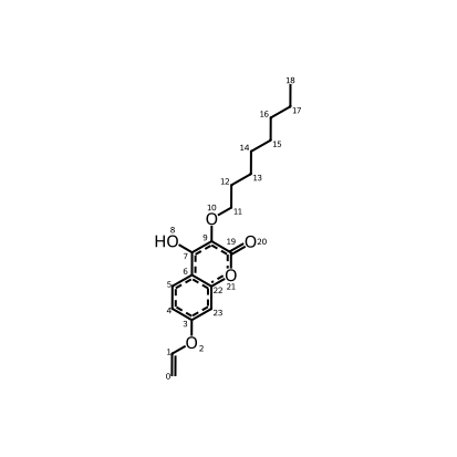 C=COc1ccc2c(O)c(OCCCCCCCC)c(=O)oc2c1